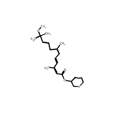 COC(C)(C)CCCC(C)CC=CC(C)=CC(=O)OC1CCCSC1